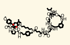 CCC(C)NC(=O)N1[C@@H]2CCN1C(=O)C(C)NC(=O)[C@@H](NC(=O)CNC(=O)[C@H](C)NC(=O)CCC(=O)N(CCCCCCn1cc(C)c3cc(F)ccc31)Cc1ccc(CCNC(=O)[C@@H]3CCCN3C(=O)[C@H](Cc3ccc(OC)cc3)NC=O)cc1)Cc1cccc(c1)CNC(=O)CO2